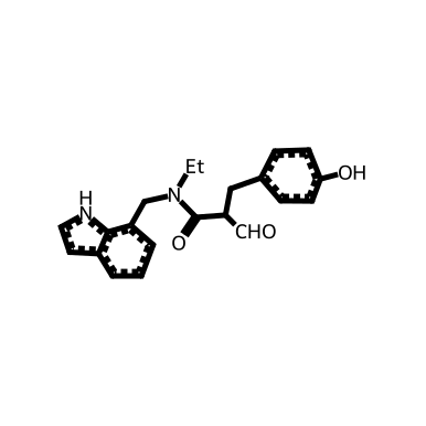 CCN(Cc1cccc2cc[nH]c12)C(=O)C(C=O)Cc1ccc(O)cc1